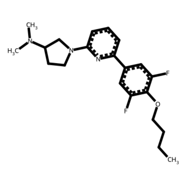 CCCCOc1c(F)cc(-c2cccc(N3CCC(N(C)C)C3)n2)cc1F